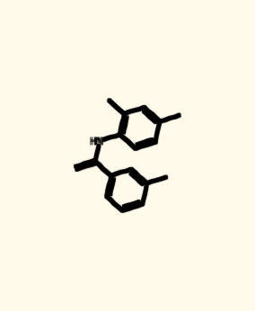 C=C(Nc1ccc(C)cc1C)c1cccc(C)c1